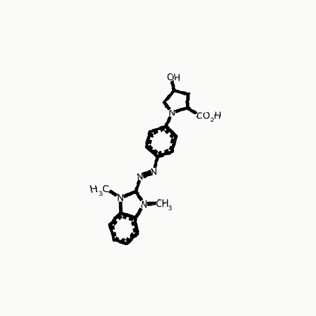 CN1c2ccccc2N(C)C1N=Nc1ccc(N2CC(O)CC2C(=O)O)cc1